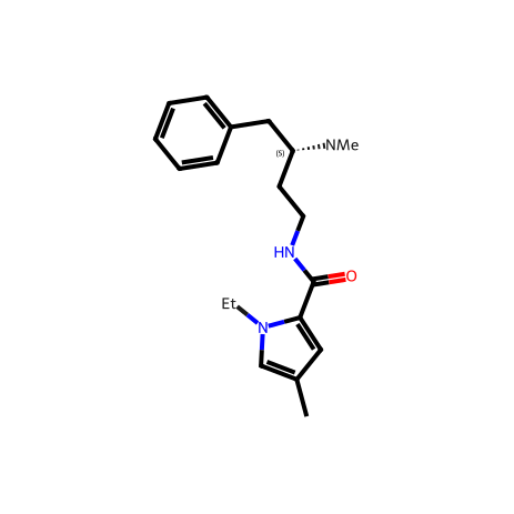 CCn1cc(C)cc1C(=O)NCC[C@H](Cc1ccccc1)NC